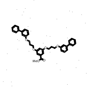 COC(=O)c1cc(OCCCOc2cccc(-c3ccccc3)c2)cc(OCCCOc2cccc(-c3ccccc3)c2)c1